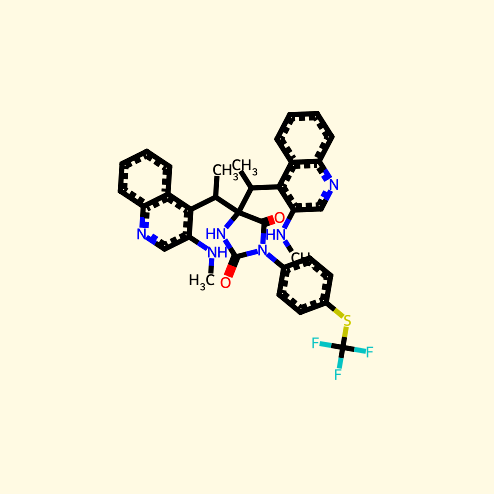 CNc1cnc2ccccc2c1C(C)C1(C(C)c2c(NC)cnc3ccccc23)NC(=O)N(c2ccc(SC(F)(F)F)cc2)C1=O